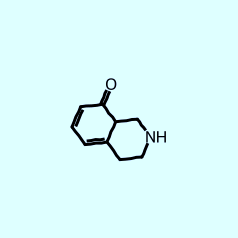 O=C1C=CC=C2CCNCC12